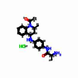 CCC(=O)N1c2ccccc2[C@H](Nc2ccc(NC(=O)[C@H](C)N)cc2)C[C@@H]1C.Cl